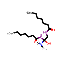 CCCCCCCCCCCCCCCC(=O)PCC(O)(PC(=O)CCCCCCCCCCCCCCC)N(C)C